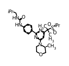 CC(C)CNC(=O)Nc1ccc(-c2nc(N3CCOC[C@@H]3C)cc(C(C)(C)S(=O)(=O)C(C)C)n2)cc1